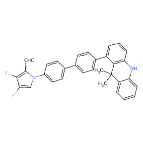 CC1(C)c2ccccc2Nc2cccc(-c3ccc(-c4ccc(-n5cc(F)c(F)c5C=O)cc4)cc3)c21